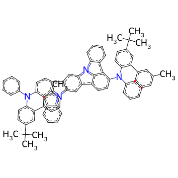 Cc1cccc(-c2cc(C(C)(C)C)ccc2N(c2ccccc2)c2ccc3c4cc5c(cc4n4c6ccccc6c2c34)c2ccc(N(c3ccccc3)c3ccc(C(C)(C)C)cc3-c3cccc(C)c3)c3c4ccccc4n5c23)c1